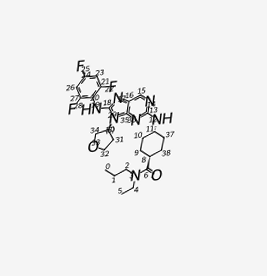 CCCN(CC)C(=O)[C@H]1CC[C@H](Nc2ncc3nc(Nc4c(F)cc(F)cc4F)n([C@H]4CCOC4)c3n2)CC1